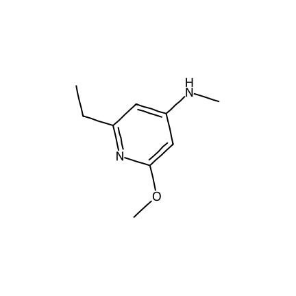 CCc1cc(NC)cc(OC)n1